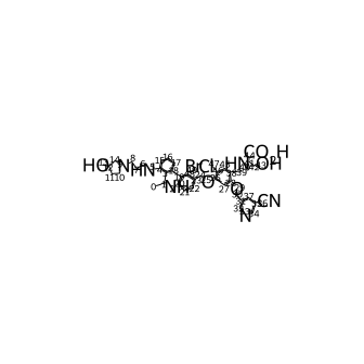 CC(=N)c1c(NCCCN2CC[C@@H](O)C2)cccc1-c1cccc(COc2cc(OCc3cncc(C#N)c3)c(CN[C@@H](CO)C(=O)O)cc2Cl)c1Br